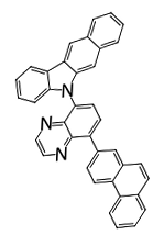 c1ccc2cc3c(cc2c1)c1ccccc1n3-c1ccc(-c2ccc3c(ccc4ccccc43)c2)c2nccnc12